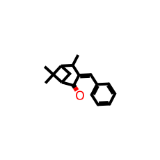 CC1/C(=C/c2ccccc2)C(=O)C2CC1C2(C)C